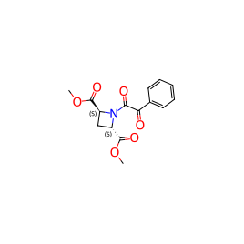 COC(=O)[C@@H]1C[C@@H](C(=O)OC)N1C(=O)C(=O)c1ccccc1